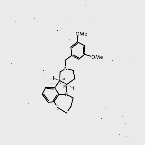 COc1cc(CN2CC[C@@H]3[C@H](C2)c2cccc4c2N3CCCS4)cc(OC)c1